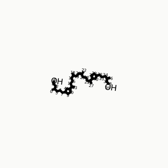 CC(CCO)CCCC1CCC(C(C)CCCC(C)CCC(C)CCCC(C)C2CCC(CCCC(C)CCO)C2)C1